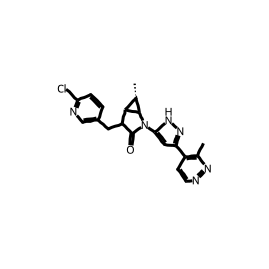 Cc1nnccc1-c1cc(N2C(=O)C(Cc3ccc(Cl)nc3)C3C2[C@H]3C)[nH]n1